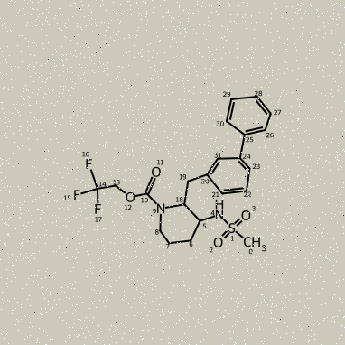 CS(=O)(=O)NC1CCCN(C(=O)OCC(F)(F)F)C1Cc1cccc(-c2ccccc2)c1